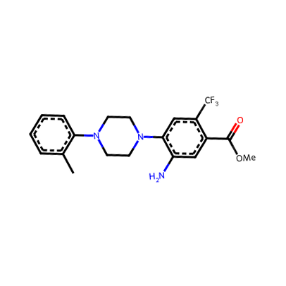 COC(=O)c1cc(N)c(N2CCN(c3ccccc3C)CC2)cc1C(F)(F)F